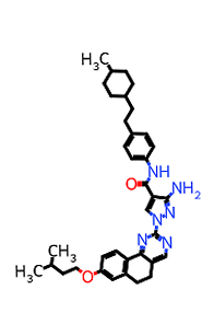 CC(C)CCOc1ccc2c(c1)CCc1cnc(-n3cc(C(=O)Nc4ccc(CCC5CCC(C)CC5)cc4)c(N)n3)nc1-2